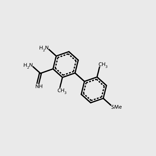 CSc1ccc(-c2ccc(N)c(C(=N)N)c2C)c(C)c1